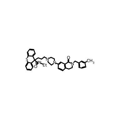 CCNC(=O)C1(CCCN2CCN(c3ccc4c(c3)C(=O)N(Cc3cccc(C)c3)CC4)CC2)c2ccccc2Sc2ccccc21